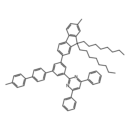 CCCCCCCCC1(CCCCCCCC)c2cc(C)ccc2-c2ccc(-c3cc(-c4ccc(-c5ccc(C)cc5)cc4)cc(-c4nc(-c5ccccc5)cc(-c5ccccc5)n4)c3)cc21